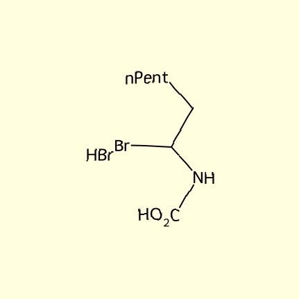 Br.CCCCCCC(Br)NC(=O)O